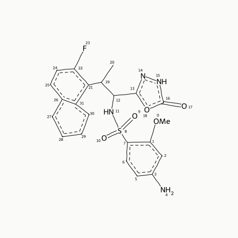 COc1cc(N)ccc1S(=O)(=O)NC(c1n[nH]c(=O)o1)C(C)c1c(F)ccc2ccccc12